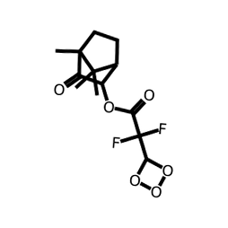 CC12CCC(C(OC(=O)C(F)(F)C3OOO3)C1=O)C2(C)C